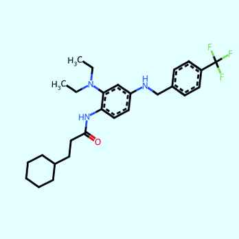 CCN(CC)c1cc(NCc2ccc(C(F)(F)F)cc2)ccc1NC(=O)CCC1CCCCC1